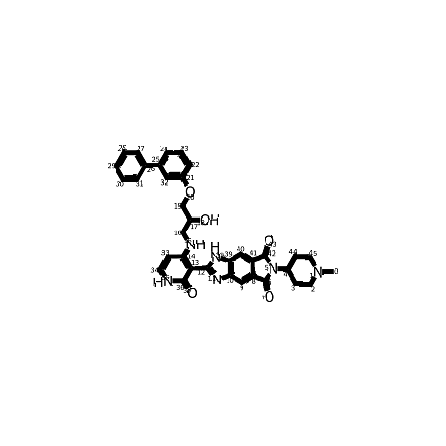 CN1CCC(N2C(=O)c3cc4nc(-c5c(NCC(O)COc6cccc(-c7ccccc7)c6)cc[nH]c5=O)[nH]c4cc3C2=O)CC1